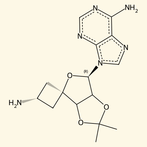 CC1(C)OC2C(O1)[C@]1(C[C@@H](N)C1)O[C@H]2n1cnc2c(N)ncnc21